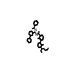 C/C=C\CC(CC)c1cccc(-c2cccc(C(C)/N=C(\N=C(/C)c3ccccc3)c3cccc(-c4ccccc4)c3)c2C)c1C